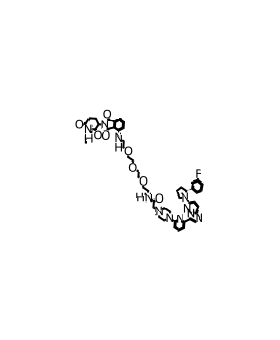 O=C(CN1CCN(c2cccc(-c3cnc4ccc(N5CCC[C@@H]5c5cccc(F)c5)nn34)n2)CC1)NCCOCCOCCOCCNc1cccc2c1C(=O)N(C1CCC(=O)NC1=O)C2=O